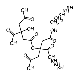 O.O.O=C(O)CC(O)(CC(=O)OC(CC(=O)O)(CC(=O)O)C(=O)O)C(=O)O.[KH].[KH].[KH].[KH].[KH].[KH]